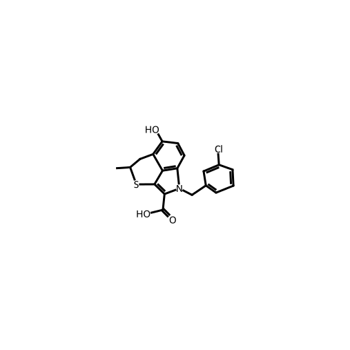 CC1Cc2c(O)ccc3c2c(c(C(=O)O)n3Cc2cccc(Cl)c2)S1